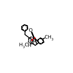 Cc1ccc2c(c1)[C@]13CCN(C)[C@H](C2)[C@@H]1CN(Cc1ccccc1)C(=O)C3